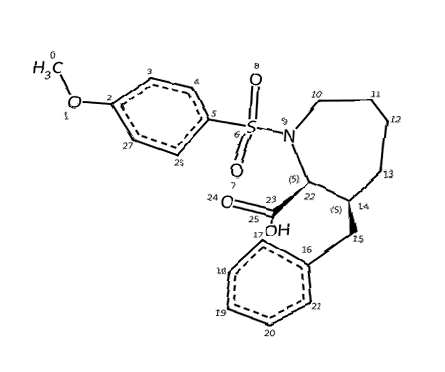 COc1ccc(S(=O)(=O)N2CCCC[C@@H](Cc3ccccc3)[C@H]2C(=O)O)cc1